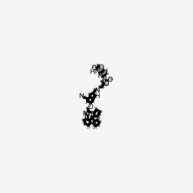 N#Cc1cc(OCc2cn(C(c3ccccc3)(c3ccccc3)c3ccccc3)nn2)cc2c1CC(CNCCC1CN(c3cnc4c(n3)NC(=O)CO4)C(=O)O1)C2